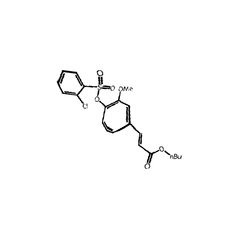 CCCCOC(=O)C=Cc1ccc(OS(=O)(=O)c2ccccc2Cl)c(OC)c1